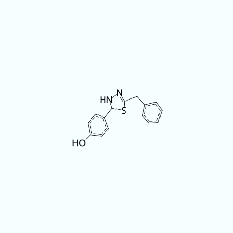 Oc1ccc(C2NN=C(Cc3ccccc3)S2)cc1